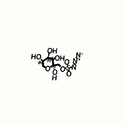 [N-]=[N+]=NS(=O)(=O)OC[C@@]1(O)OC[C@@H](O)[C@@H](O)[C@@H]1O